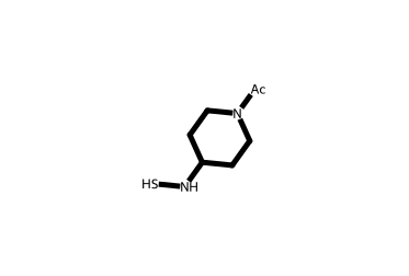 CC(=O)N1CCC(NS)CC1